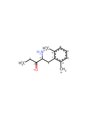 CCC(=O)C(N)Cc1c(C)cccc1C